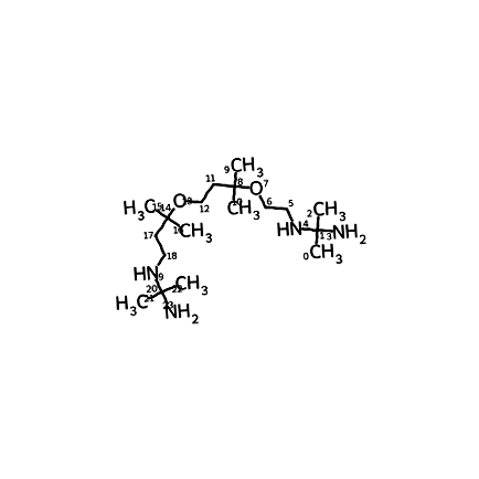 CC(C)(N)NCCOC(C)(C)CCOC(C)(C)CCNC(C)(C)N